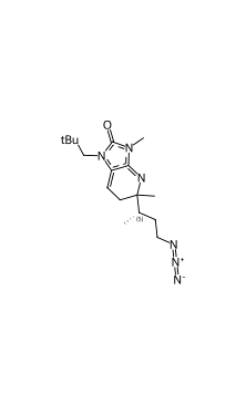 C[C@@H](CCN=[N+]=[N-])C1(C)CC=c2c(n(C)c(=O)n2CC(C)(C)C)=N1